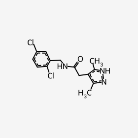 Cc1n[nH]c(C)c1CC(=O)NCc1cc(Cl)ccc1Cl